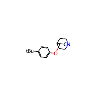 CC(C)(C)c1ccc(OC2CN3CCC2CC3)cc1